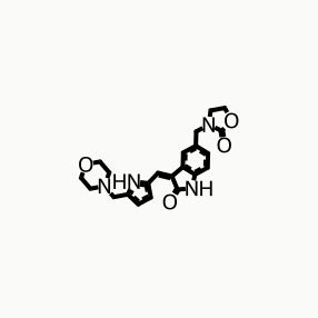 O=C1Nc2ccc(CN3CCOC3=O)cc2C1=Cc1ccc(CN2CCOCC2)[nH]1